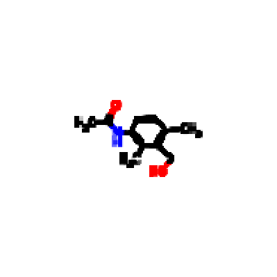 CC(=O)Nc1ccc(C)c(CO)c1C